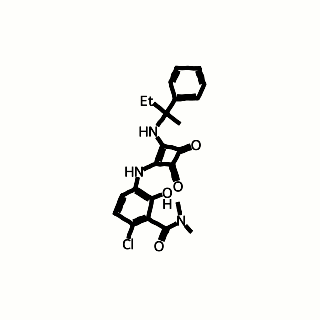 CCC(C)(Nc1c(Nc2ccc(Cl)c(C(=O)N(C)C)c2O)c(=O)c1=O)c1ccccc1